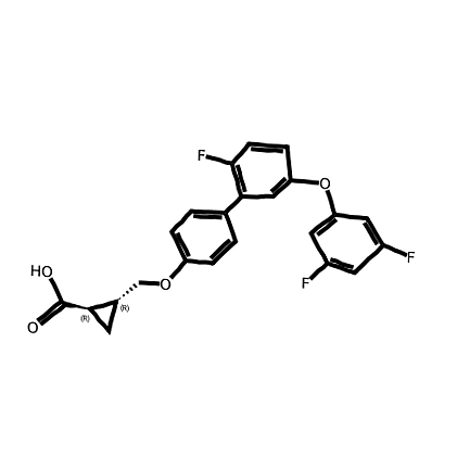 O=C(O)[C@@H]1C[C@H]1COc1ccc(-c2cc(Oc3cc(F)cc(F)c3)ccc2F)cc1